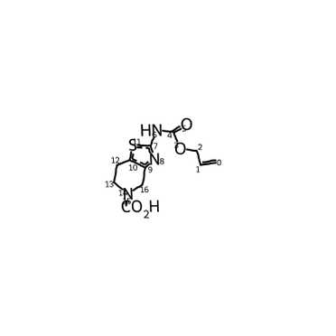 C=CCOC(=O)Nc1nc2c(s1)CCN(C(=O)O)C2